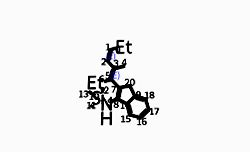 CC/C=C\C(C)=C(/CC)C1=C(N[Si](C)(C)C)c2ccccc2C1